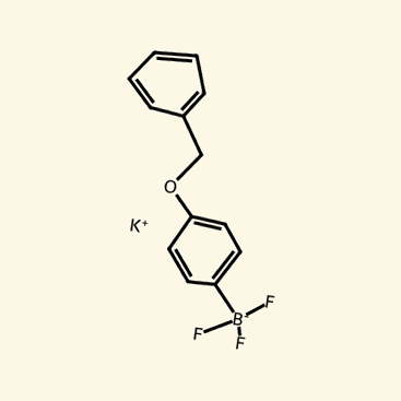 F[B-](F)(F)c1ccc(OCc2ccccc2)cc1.[K+]